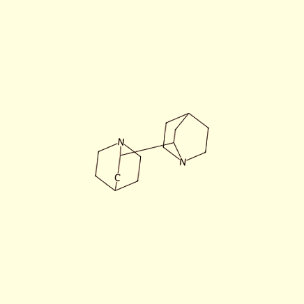 C1CN2CCC1CC2C1CC2CCN1CC2